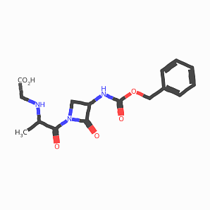 CC(NCC(=O)O)C(=O)N1CC(NC(=O)OCc2ccccc2)C1=O